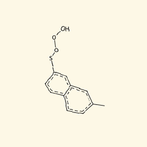 Cc1ccc2ccc(SOOO)cc2c1